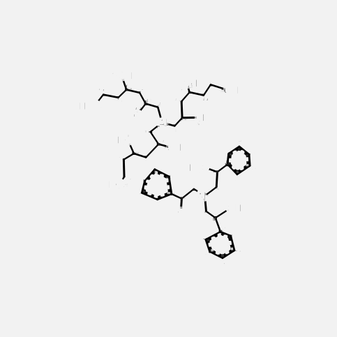 CC([CH2][Al]([CH2]C(C)c1ccccc1)[CH2]C(C)c1ccccc1)c1ccccc1.CCCC(C)CC(C)[CH2][Al]([CH2]C(C)CC(C)CCC)[CH2]C(C)CC(C)CCC